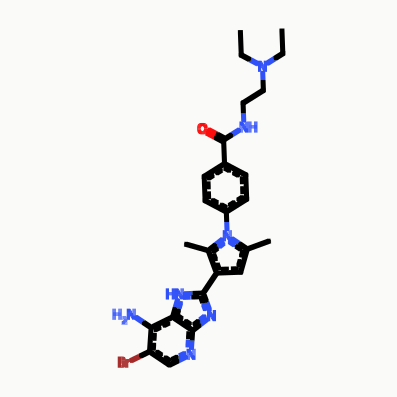 CCN(CC)CCNC(=O)c1ccc(-n2c(C)cc(-c3nc4ncc(Br)c(N)c4[nH]3)c2C)cc1